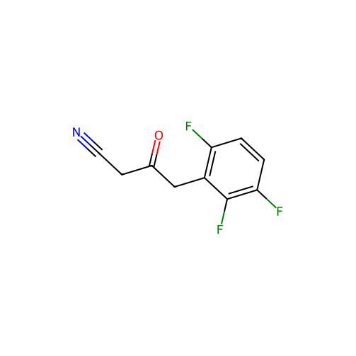 N#CCC(=O)Cc1c(F)ccc(F)c1F